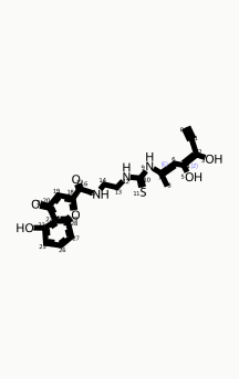 C#C/C(O)=C(O)\C=C(/C)NC(=S)NCCNC(=O)c1cc(=O)c2c(O)cccc2o1